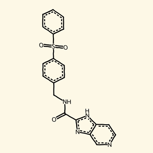 O=C(NCc1ccc(S(=O)(=O)c2ccccc2)cc1)c1nc2cnccc2[nH]1